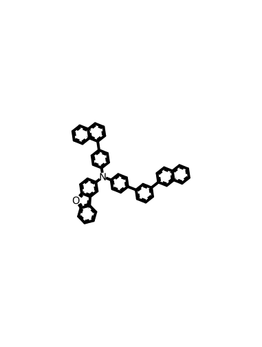 c1cc(-c2ccc(N(c3ccc(-c4cccc5ccccc45)cc3)c3ccc4oc5ccccc5c4c3)cc2)cc(-c2ccc3ccccc3c2)c1